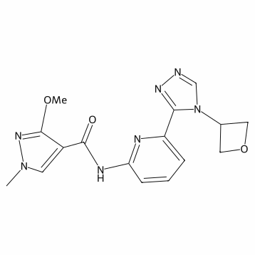 COc1nn(C)cc1C(=O)Nc1cccc(-c2nncn2C2COC2)n1